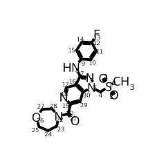 CS(=O)(=O)Cn1nc(Nc2ccc(F)cc2)c2cnc(C(=O)N3CCCOCC3)cc21